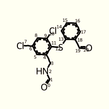 O=CNCc1cc(Cl)cc(Cl)c1Sc1ccccc1C=O